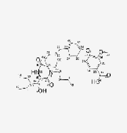 CCCCN1C(=O)[C@@H]([C@H](O)C(CC)CC)NC(=O)C12CCN(Cc1ccc(Oc3ccc(C(=O)O)cc3OC)cc1)CC2